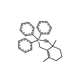 CC1=C(CP(Br)(c2ccccc2)(c2ccccc2)c2ccccc2)C(C)(C)CCC1